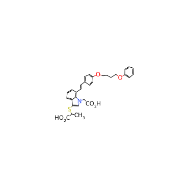 CC(Sc1cn(CC(=O)O)c2c(/C=C/c3ccc(OCCCCOc4ccccc4)cc3)cccc12)C(=O)O